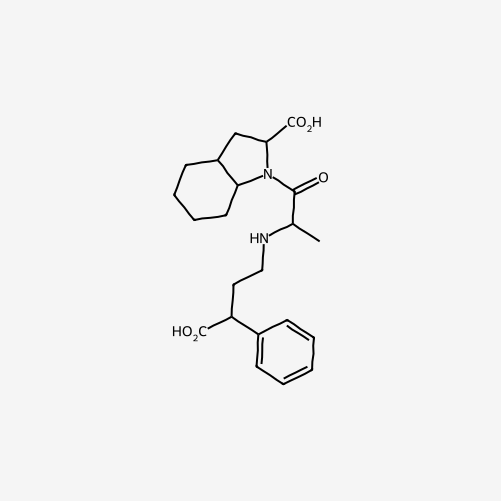 CC(NCCC(C(=O)O)c1ccccc1)C(=O)N1C(C(=O)O)CC2CCCCC21